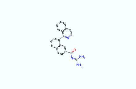 NC(N)=NC(=O)c1ccc2cccc(-c3nccc4ccccc34)c2c1